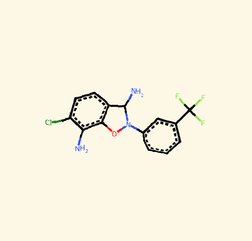 Nc1c(Cl)ccc2c1ON(c1cccc(C(F)(F)F)c1)C2N